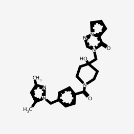 Cc1cc(C)n(Cc2ccc(C(=O)N3CCC(O)(Cn4cnn5cccc5c4=O)CC3)cc2)n1